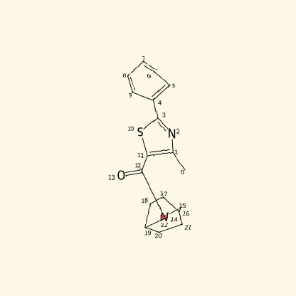 Cc1nc(-c2ccccc2)sc1C(=O)N1CC2CCC(CC2)C1